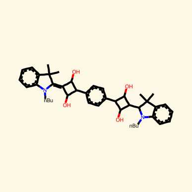 CCCCN1C(=C2C(O)C(c3ccc(C4C(O)C(C5N(CCCC)c6ccccc6C5(C)C)C4O)cc3)C2O)C(C)(C)c2ccccc21